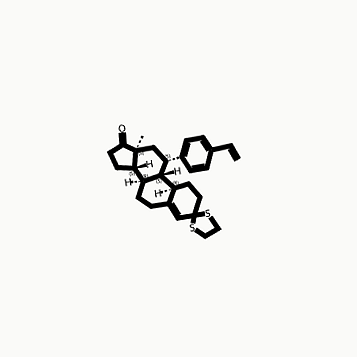 C=Cc1ccc([C@H]2C[C@]3(C)C(=O)CC[C@H]3[C@@H]3CCC4=CC5(CC[C@@H]4[C@H]32)SCCS5)cc1